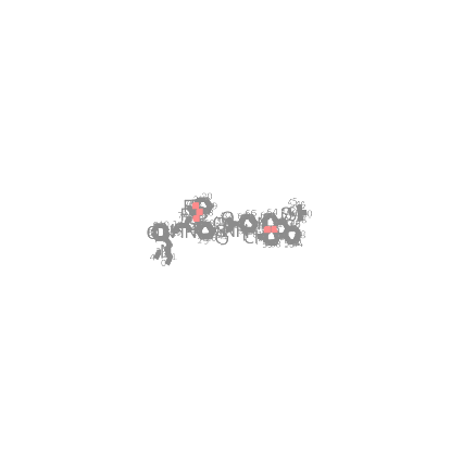 CCN(CC)CC1COCCN1CCC(CSc1ccccc1)Nc1ccc(S(=O)(=O)NC(=O)c2ccc(N3CCC([C@@H](O[Si](C)(C)C(C)(C)C)c4ccccc4-c4ccc(Cl)cc4)CC3)cc2)cc1S(=O)(=O)C(F)(F)F